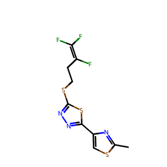 Cc1nc(-c2nnc(SCCC(F)=C(F)F)s2)cs1